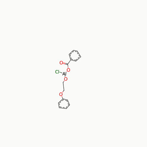 O=C([O][Al]([Cl])[O]CCOc1ccccc1)c1ccccc1